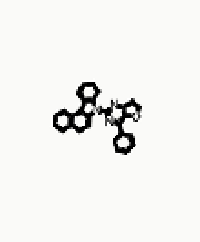 c1ccc(-c2nc(-n3c4ccccc4c4c5ccccc5ccc43)nc3ccoc23)cc1